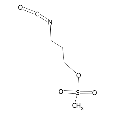 CS(=O)(=O)OCCCN=C=O